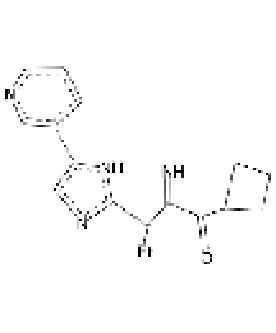 CCC(C(=N)C(=O)C1CCC1)c1ncc(-c2cccnc2)[nH]1